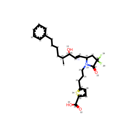 C[C@@H](CCCCc1ccccc1)[C@@H](O)/C=C/C1CC(F)(F)C(=O)N1CCCc1ccc(C(=O)O)s1